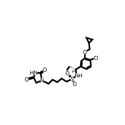 CC[C@@H](NS(=O)(=O)CCCCCN1CC(=O)NC1=O)c1ccc(Cl)c(OCC2CC2)c1